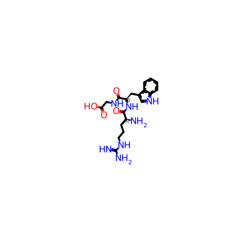 N=C(N)NCCC[C@H](N)C(=O)N[C@H](Cc1c[nH]c2ccccc12)C(=O)NCC(=O)O